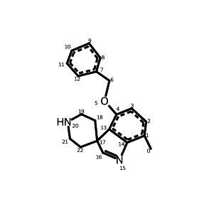 Cc1ccc(OCc2ccccc2)c2c1N=CC21CCNCC1